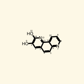 Oc1cc2ccc3ncccc3c2nc1O